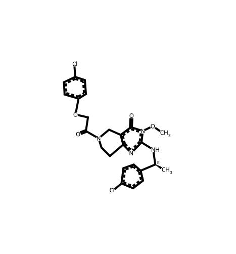 COn1c(N[C@@H](C)c2ccc(Cl)cc2)nc2c(c1=O)CN(C(=O)COc1ccc(Cl)cc1)CC2